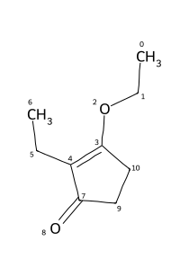 CCOC1=C(CC)C(=O)CC1